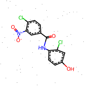 O=C(Nc1ccc(O)cc1Cl)c1ccc(Cl)c([N+](=O)[O-])c1